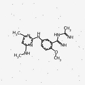 CNc1cc(C)nc(Nc2ccc(OC)c(C(=N)NC(C)=N)c2)n1